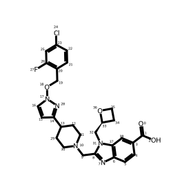 O=C(O)c1ccc2nc(CN3CCC(c4ccn(OCc5ccc(Cl)cc5F)n4)CC3)n(C[C@@H]3CCO3)c2c1